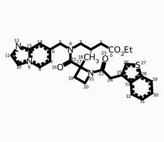 CCOC(=O)CCCN(Cc1ccn2ccnc2c1)C(=O)C1(C)CCN1C(=O)Cc1csc2ccccc12